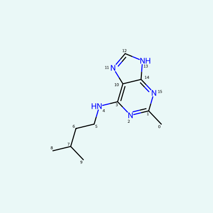 Cc1nc(NCCC(C)C)c2nc[nH]c2n1